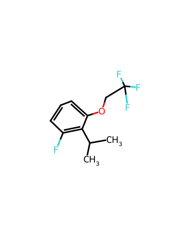 CC(C)c1c(F)cccc1OCC(F)(F)F